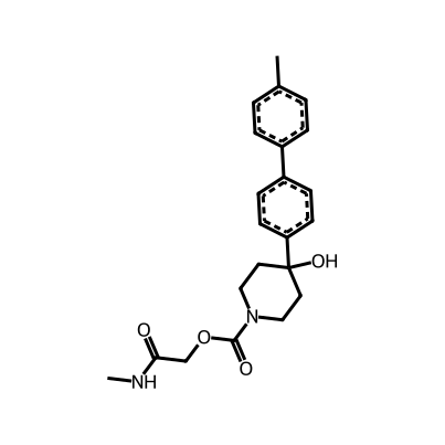 CNC(=O)COC(=O)N1CCC(O)(c2ccc(-c3ccc(C)cc3)cc2)CC1